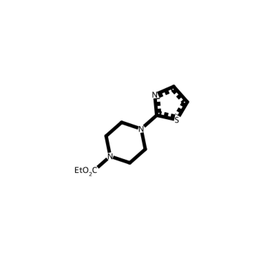 CCOC(=O)N1CCN(c2nccs2)CC1